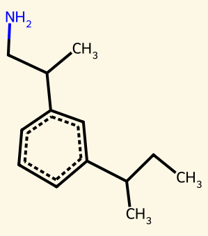 CCC(C)c1cccc(C(C)CN)c1